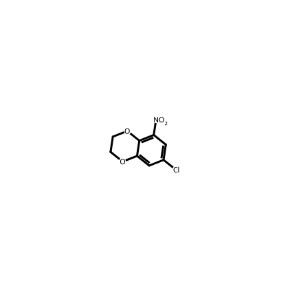 O=[N+]([O-])c1cc(Cl)cc2c1OCCO2